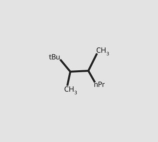 [CH2]C(C)(C)C(C)C(C)CCC